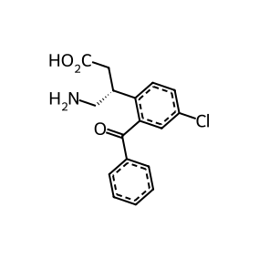 NC[C@H](CC(=O)O)c1ccc(Cl)cc1C(=O)c1ccccc1